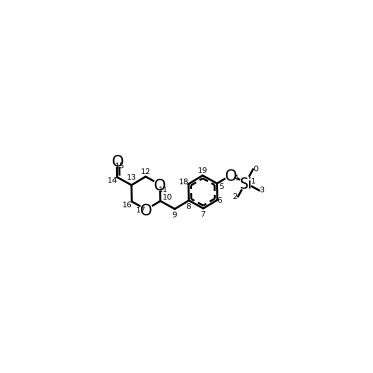 C[Si](C)(C)Oc1ccc(CC2OCC(C=O)CO2)cc1